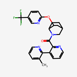 Cc1cccnc1-c1cccnc1C(=O)N1CC2CCC1C(Oc1ccc(C(F)(F)F)cn1)C2